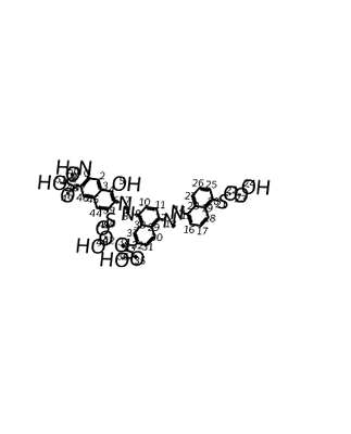 Nc1cc2c(O)c(N=Nc3ccc(N=Nc4cccc5c(SOOO)cccc45)c4ccc(S(=O)(=O)O)cc34)c(SOOO)cc2cc1S(=O)(=O)O